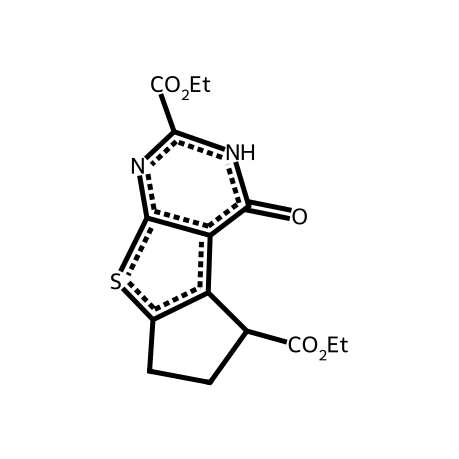 CCOC(=O)c1nc2sc3c(c2c(=O)[nH]1)C(C(=O)OCC)CC3